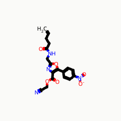 C=CCCC(=O)NCc1nc(C(=O)OCC#N)c(-c2ccc([N+](=O)[O-])cc2)o1